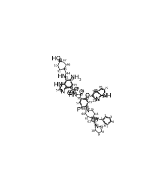 CC(C)c1ccccc1[C@@H]1CCCN1C1CC2(CCN(c3cc(Oc4cnc5[nH]ccc5c4)c(C(=O)NS(=O)(=O)c4cc(N)c(NCC5CCC(O)CC5)c5[nH]cnc45)cc3F)CC2)C1